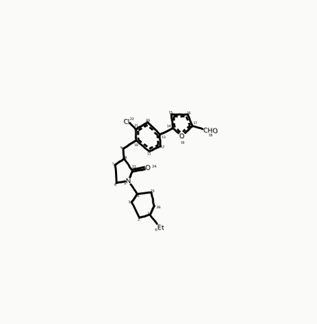 CCC1CCC(N2CCC(Cc3ccc(-c4ccc(C=O)o4)cc3Cl)C2=O)CC1